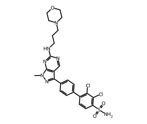 Cn1nc(-c2ccc(-c3ccc(S(N)(=O)=O)c(Cl)c3Cl)cc2)c2cnc(NCCCN3CCOCC3)nc21